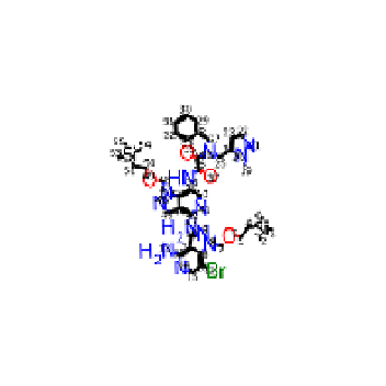 C[Si](C)(C)CCOCn1ncc2c(N)ncc(Br)c21.Cn1nccc1CN(Cc1ccccc1)C(=O)C(=O)Nc1cnc(N)c2cnn(COCC[Si](C)(C)C)c12